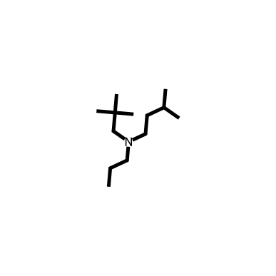 CCCN(CCC(C)C)CC(C)(C)C